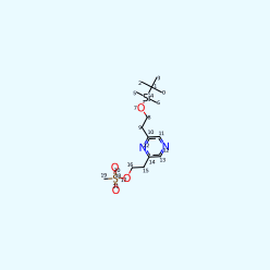 CC(C)(C)[Si](C)(C)OCCc1cncc(CCOS(C)(=O)=O)n1